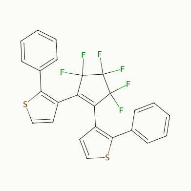 FC1(F)C(c2ccsc2-c2ccccc2)=C(c2ccsc2-c2ccccc2)C(F)(F)C1(F)F